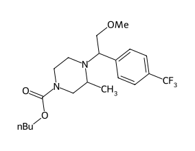 CCCCOC(=O)N1CCN(C(COC)c2ccc(C(F)(F)F)cc2)C(C)C1